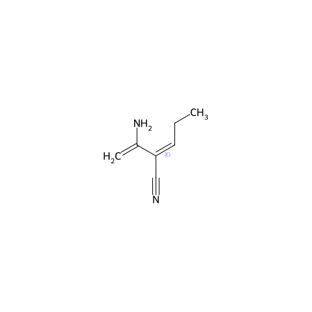 C=C(N)/C(C#N)=C\CC